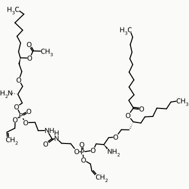 C=CCOP(=O)(OCCNC(=O)NCCOP(=O)(OCC=C)OC[C@H](N)COCC[C@@H](CCCCCCC)OC(=O)CCCCCCCCCCC)OC[C@H](N)COCC[C@@H](CCCCCCC)OC(C)=O